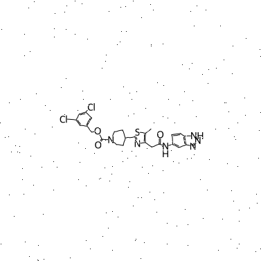 Cc1sc(C2CCN(C(=O)OCc3cc(Cl)cc(Cl)c3)CC2)nc1CC(=O)Nc1ccc2[nH]nnc2c1